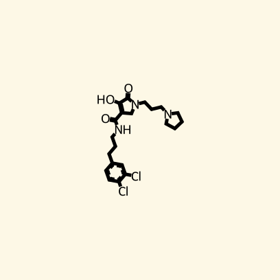 O=C(NCCCc1ccc(Cl)c(Cl)c1)C1=C(O)C(=O)N(CCCN2CCCC2)C1